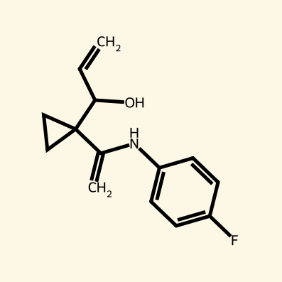 C=CC(O)C1(C(=C)Nc2ccc(F)cc2)CC1